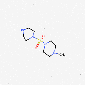 CN1CCN(S(=O)(=O)N2CCNCC2)CC1